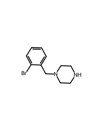 Brc1ccccc1CN1CCNCC1